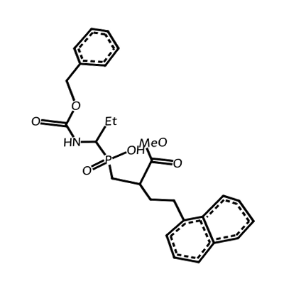 CCC(NC(=O)OCc1ccccc1)P(=O)(O)CC(CCc1cccc2ccccc12)C(=O)OC